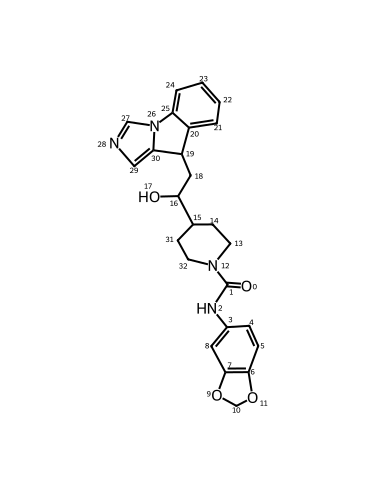 O=C(Nc1ccc2c(c1)OCO2)N1CCC(C(O)CC2c3ccccc3-n3cncc32)CC1